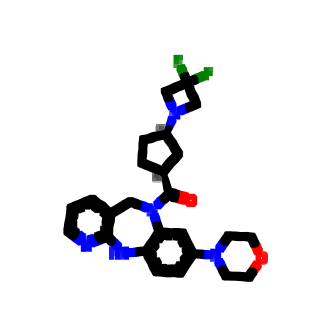 O=C([C@H]1CC[C@@H](N2CC(F)(F)C2)C1)N1Cc2cccnc2Nc2ccc(N3CCOCC3)cc21